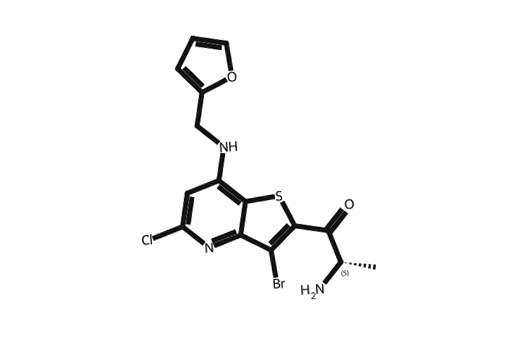 C[C@H](N)C(=O)c1sc2c(NCc3ccco3)cc(Cl)nc2c1Br